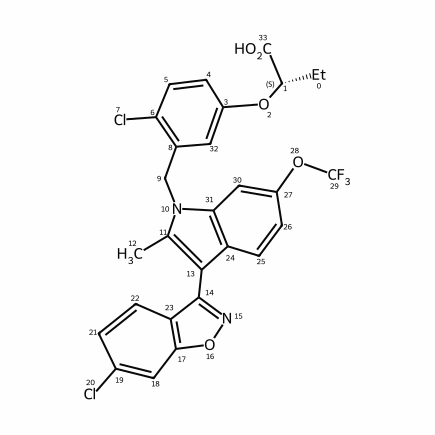 CC[C@H](Oc1ccc(Cl)c(Cn2c(C)c(-c3noc4cc(Cl)ccc34)c3ccc(OC(F)(F)F)cc32)c1)C(=O)O